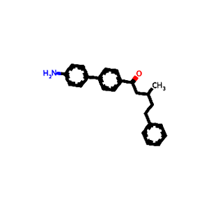 CC(CCc1ccccc1)CC(=O)c1ccc(-c2ccc(N)cc2)cc1